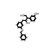 OCC(c1cccc(O)c1)C(O)Cc1cccc(OCc2ccccc2)c1